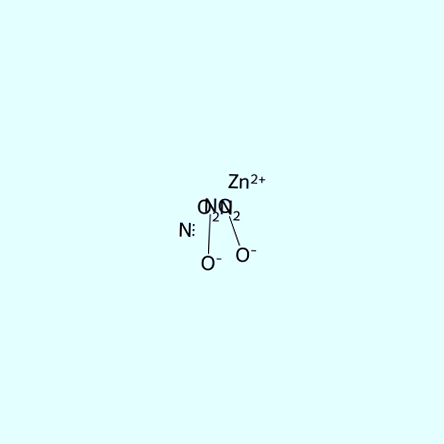 O=[N+]([O-])[O-].O=[N+]([O-])[O-].[N].[Zn+2]